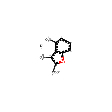 O=C([O-])c1oc2cccc([N+](=O)[O-])c2c1[N+](=O)[O-].[K+]